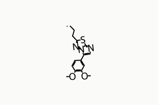 [CH2]CCc1nn2c(-c3ccc(OC)c(OC)c3)cnc2s1